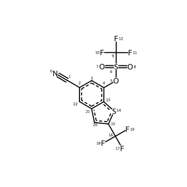 N#Cc1cc(OS(=O)(=O)C(F)(F)F)c2sc(C(F)(F)F)cc2c1